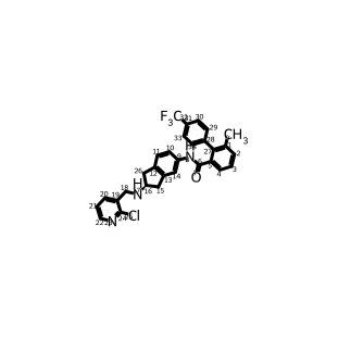 Cc1cccc(C(=O)Nc2ccc3c(c2)C[C@@H](NCc2cccnc2Cl)C3)c1-c1ccc(C(F)(F)F)cc1